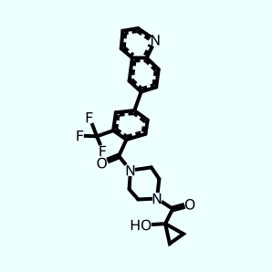 O=C(c1ccc(-c2ccc3ncccc3c2)cc1C(F)(F)F)N1CCN(C(=O)C2(O)CC2)CC1